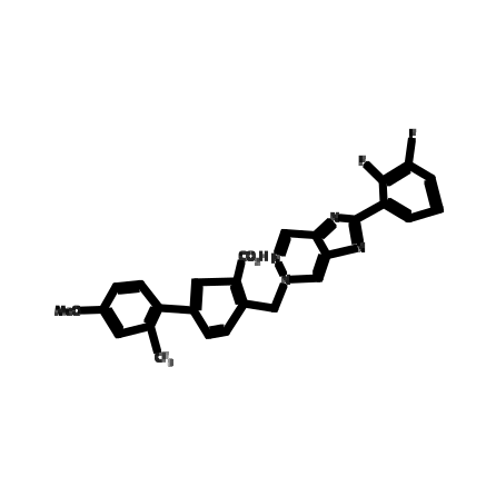 COc1ccc(-c2ccc(Cn3cc4nc(-c5cccc(F)c5F)nc-4cn3)c(C(=O)O)c2)c(C(F)(F)F)c1